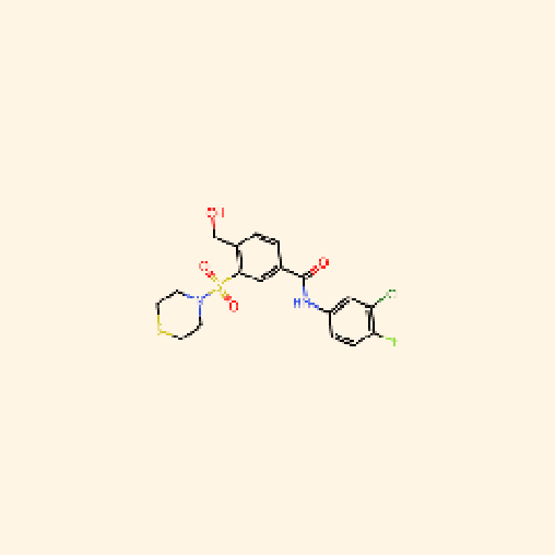 O=C(Nc1ccc(F)c(Cl)c1)c1ccc(CO)c(S(=O)(=O)N2CCSCC2)c1